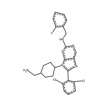 NCC1CCC(n2c(-c3c(Cl)cccc3Cl)nc3cnc(NCc4ccccc4F)nc32)CC1